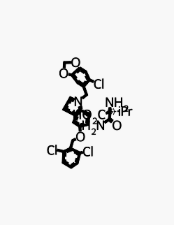 CC(C)[C@](N)(C(N)=O)C(=O)O.Clc1cc2c(cc1Cn1ccc3cc(OCc4c(Cl)cccc4Cl)ccc31)OCO2